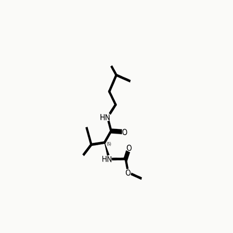 COC(=O)N[C@H](C(=O)NCCC(C)C)C(C)C